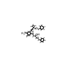 Nc1cc(C#CC2(COCc3ccccc3)CCC2)c(NCC(O)COCc2ccccc2)cc1F